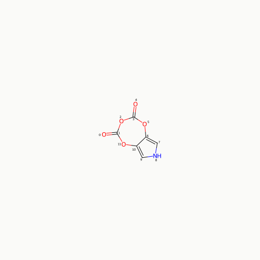 O=C1OC(=O)Oc2c[nH]cc2O1